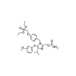 CCOP(=O)(COc1ccc(Cn2c(COC(N)=O)nc(C(C)C)c2Sc2cccc(OC)c2)cc1)OCC